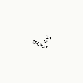 [Co].[Cu].[Ni].[Zn].[Zn]